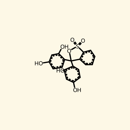 O=S1(=O)OC(c2ccc(O)cc2O)(c2ccc(O)cc2O)c2ccccc21